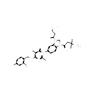 Cc1nc(OCc2ccc(F)cc2F)c(Cl)c(=O)n1-c1ccc2c(c1)N(C(=O)CCO)CN2C(=O)CC(C)(C)O